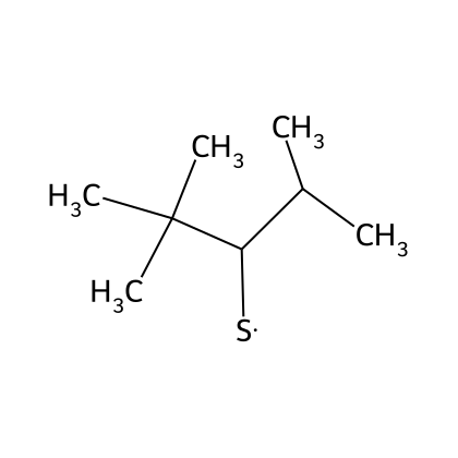 CC(C)C([S])C(C)(C)C